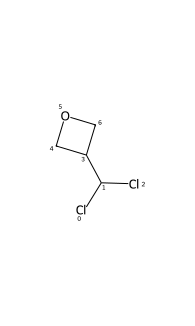 ClC(Cl)C1COC1